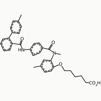 Cc1ccc(-c2ccccc2C(=O)Nc2ccc(C(=O)N(C)c3cc(C)ccc3OCCCCCC(=O)O)cc2)cc1